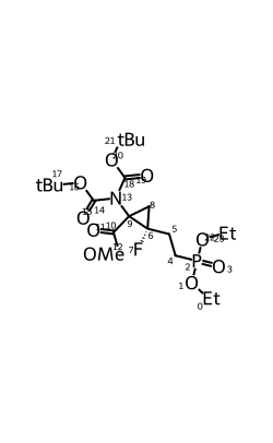 CCOP(=O)(CC[C@]1(F)CC1(C(=O)OC)N(C(=O)OC(C)(C)C)C(=O)OC(C)(C)C)OCC